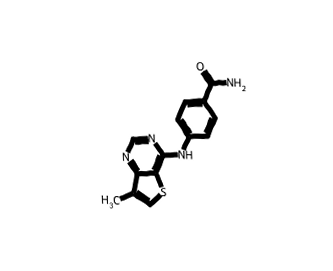 Cc1csc2c(Nc3ccc(C(N)=O)cc3)ncnc12